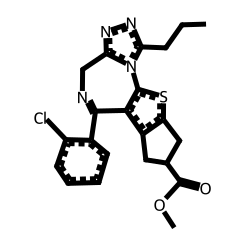 CCCc1nnc2n1-c1sc3c(c1C(c1ccccc1Cl)=NC2)CC(C(=O)OC)C3